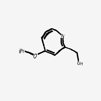 CC(C)Oc1ccnc(CO)c1